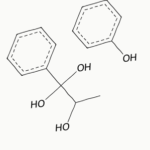 CC(O)C(O)(O)c1ccccc1.Oc1ccccc1